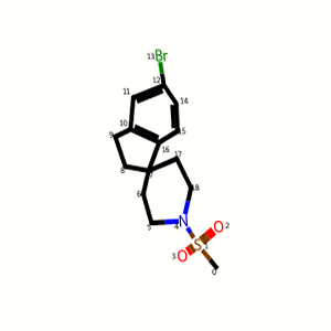 CS(=O)(=O)N1CCC2(CCc3cc(Br)ccc32)CC1